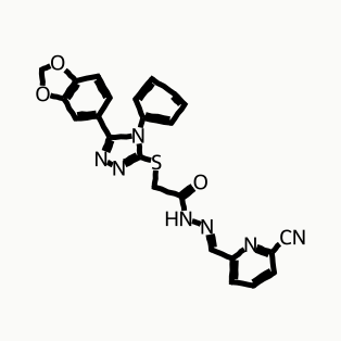 N#Cc1cccc(/C=N/NC(=O)CSc2nnc(-c3ccc4c(c3)OCO4)n2-c2ccccc2)n1